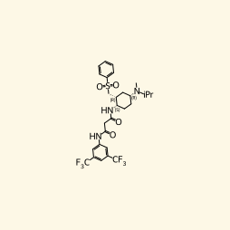 CC(C)N(C)[C@@H]1CC[C@H](NC(=O)CC(=O)Nc2cc(C(F)(F)F)cc(C(F)(F)F)c2)[C@H](CS(=O)(=O)c2ccccc2)C1